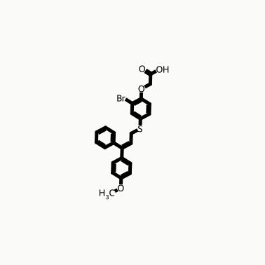 COc1ccc(C(=CCSc2ccc(OCC(=O)O)c(Br)c2)c2ccccc2)cc1